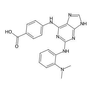 CN(C)c1ccccc1Nc1nc(Nc2ccc(C(=O)O)cc2)c2nc[nH]c2n1